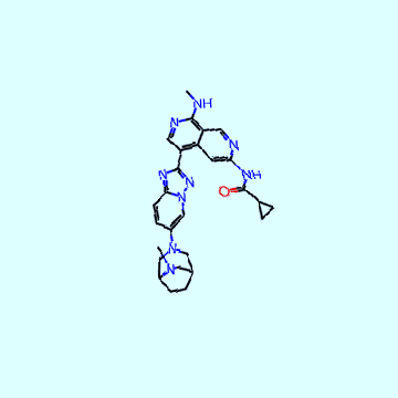 CNc1ncc(-c2nc3ccc(N4CC5CCC(C4)N(C)C5)cn3n2)c2cc(NC(=O)C3CC3)ncc12